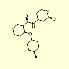 O=C1CC(NC(=O)C2CCCCC2OC2CCC(F)CC2)CCN1